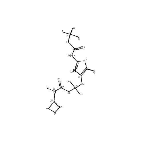 Cc1sc(NC(=O)CC(C)(C)C)nc1CC(C)(C)CC(=O)N(C)C1CCC1